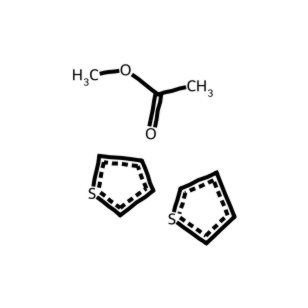 COC(C)=O.c1ccsc1.c1ccsc1